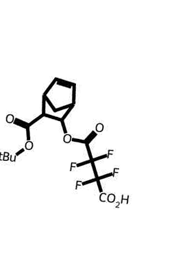 CC(C)(C)OC(=O)C1C2C=CC(C2)C1OC(=O)C(F)(F)C(F)(F)C(=O)O